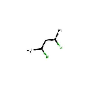 CCC(Br)CC(C)Br